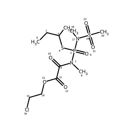 CCC(C)SP(=O)(N(C)C(=O)C(=O)OCCCl)N(C)S(C)(=O)=O